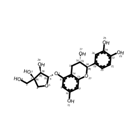 OC[C@@]1(O)CO[C@@H](Oc2cc(O)cc3c2C[C@H](O)[C@@H](c2ccc(O)c(O)c2)O3)[C@@H]1O